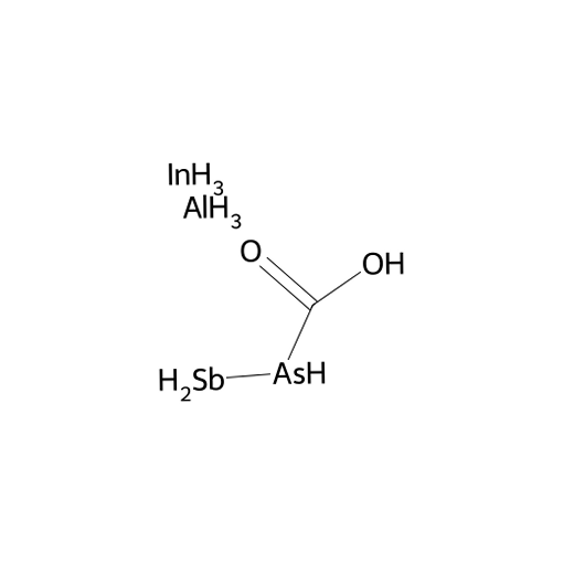 O=C(O)[AsH][SbH2].[AlH3].[InH3]